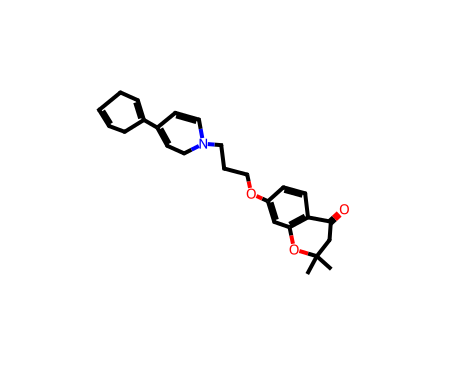 CC1(C)CC(=O)c2ccc(OCCCN3C=CC(C4=CCC=CC4)=CC3)cc2O1